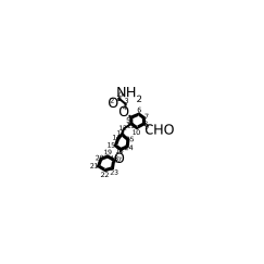 NC(=O)COc1ccc(C=O)cc1Cc1ccc(Oc2ccccc2)cc1